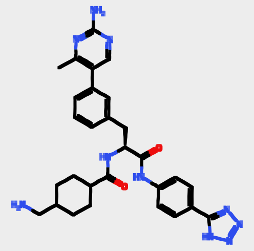 Cc1nc(N)ncc1-c1cccc(C[C@H](NC(=O)C2CCC(CN)CC2)C(=O)Nc2ccc(-c3nnn[nH]3)cc2)c1